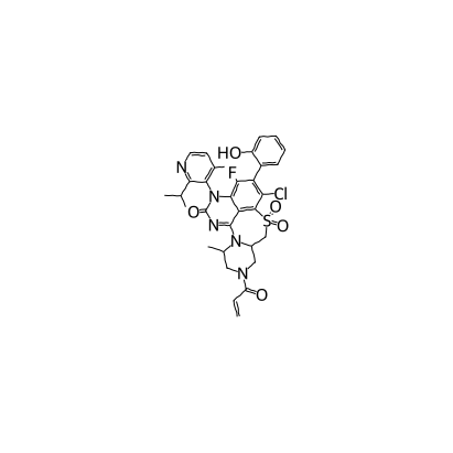 C=CC(=O)N1CC(C)N2c3nc(=O)n(-c4c(C)ccnc4C(C)C)c4c(F)c(-c5ccccc5O)c(Cl)c(c34)S(=O)(=O)CC2C1